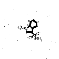 Cn1cc(S(N)(=O)=O)c2ccccc21